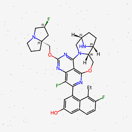 CCc1c(F)ccc2cc(O)cc(-c3nc4c5c(nc(OC[C@]67CCCN6C[C@@H](F)C7)nc5c3F)N3C[C@@H]5CC[C@@H](N5)[C@@H]3CO4)c12